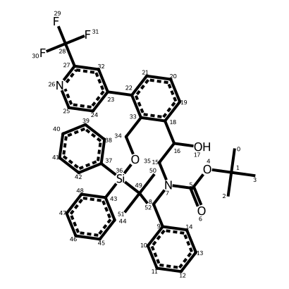 CC(C)(C)OC(=O)N(Cc1ccccc1)CC(O)c1cccc(-c2ccnc(C(F)(F)F)c2)c1CO[Si](c1ccccc1)(c1ccccc1)C(C)(C)C